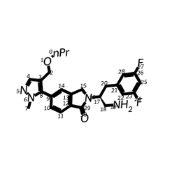 CCCOCc1cnn(C)c1-c1ccc2c(c1)CN([C@H](CN)Cc1cc(F)cc(F)c1)C2=O